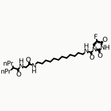 CCCC(CCC)C(=O)NCC(=O)NCCCCCCCCCCCCNC(=O)n1cc(F)c(=O)[nH]c1=O